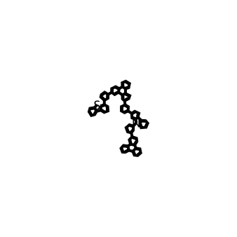 c1cc(-c2ccc3c4ccccc4c4ccc(-c5cccc(-c6cccc7c6sc6ccccc67)c5)cc4c3c2)cc(-c2ccc3c4ccccc4n(-c4cccc(-c5ccc6c7ccccc7c7ccccc7c6c5)c4)c3c2)c1